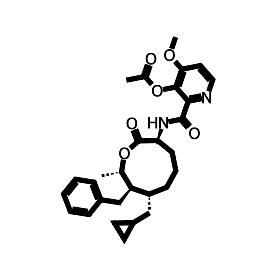 COc1ccnc(C(=O)N[C@H]2CCC[C@H](CC3CC3)[C@@H](Cc3ccccc3)[C@H](C)OC2=O)c1OC(C)=O